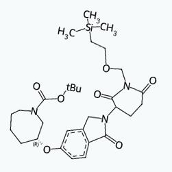 CC(C)(C)OC(=O)N1CCCC[C@@H](Oc2ccc3c(c2)CN(C2CCC(=O)N(COCC[Si](C)(C)C)C2=O)C3=O)C1